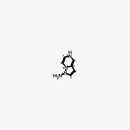 NN1C=CC2=CNC=CN21